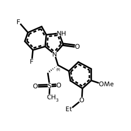 CCOc1cc([C@H](CS(C)(=O)=O)n2c(=O)[nH]c3cc(F)cc(F)c32)ccc1OC